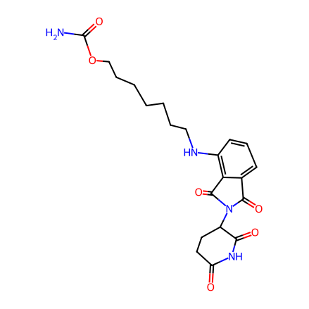 NC(=O)OCCCCCCCNc1cccc2c1C(=O)N(C1CCC(=O)NC1=O)C2=O